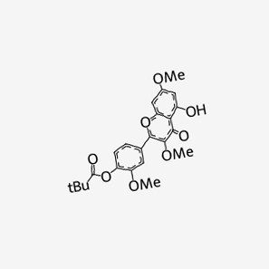 COc1cc(O)c2c(=O)c(OC)c(-c3ccc(OC(=O)C(C)(C)C)c(OC)c3)oc2c1